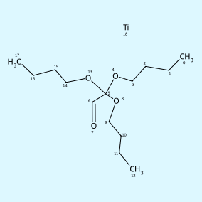 CCCCOC([C]=O)(OCCCC)OCCCC.[Ti]